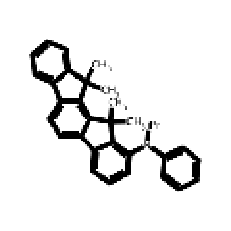 CC(C)N(c1ccccc1)c1cccc2c1C(C)(C)c1c-2ccc2c1C(C)(C)c1ccccc1-2